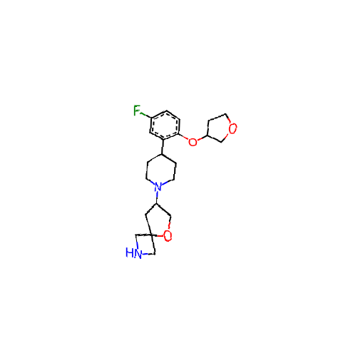 Fc1ccc(OC2CCOC2)c(C2CCN(C3COC4(CNC4)C3)CC2)c1